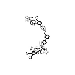 CC1(C)C(NC(=O)c2ccc(-c3cccc(CCN4CCN(c5ccc6c(c5)C(=O)N(C5CCC(=O)NC5=O)C6=O)CC4)c3)cc2)C(C)(C)C1Oc1ccc(C#N)c(Cl)c1